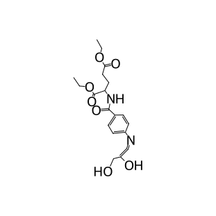 CCOC(=O)CCC(NC(=O)c1ccc(N=C=C(O)CO)cc1)C(=O)OCC